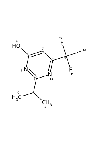 CC(C)c1nc(O)cc(C(F)(F)F)n1